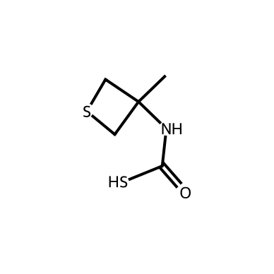 CC1(NC(=O)S)CSC1